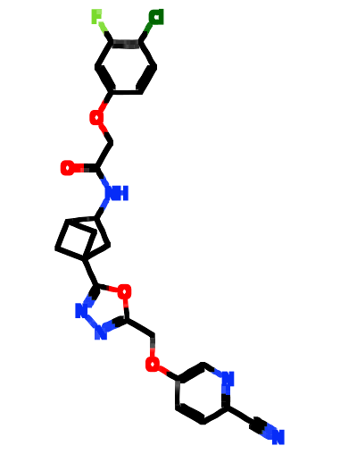 N#Cc1ccc(OCc2nnc(C34CC(C3)C(NC(=O)COc3ccc(Cl)c(F)c3)C4)o2)cn1